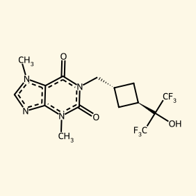 Cn1cnc2c1c(=O)n(C[C@H]1C[C@H](C(O)(C(F)(F)F)C(F)(F)F)C1)c(=O)n2C